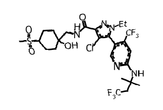 CCn1nc(C(=O)NCC2(O)CCC(S(C)(=O)=O)CC2)c(Cl)c1-c1cnc(NC(C)(C)CC(F)(F)F)cc1C(F)(F)F